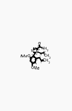 C=CCc1cc(OC)cc(OC)c1-c1nnc(C(N)=O)n1CC=C